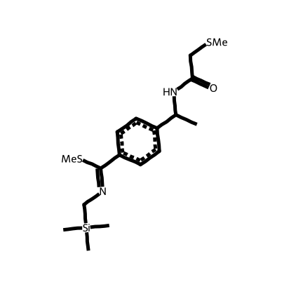 CSCC(=O)NC(C)c1ccc(C(=NC[Si](C)(C)C)SC)cc1